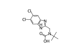 CC(C)(C)N(Cc1nc2cc(Cl)c(Cl)cc2[nH]1)C(=O)O